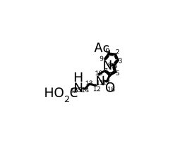 CC(=O)c1ccc2cc3c(n2c1)CN(CCCNC(=O)O)C3=O